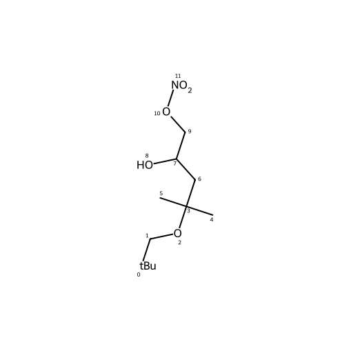 CC(C)(C)COC(C)(C)CC(O)CO[N+](=O)[O-]